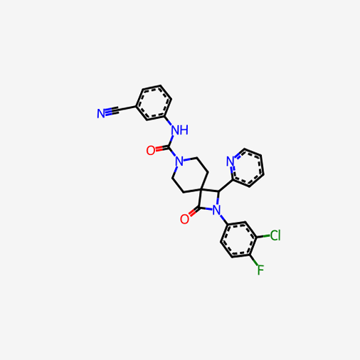 N#Cc1cccc(NC(=O)N2CCC3(CC2)C(=O)N(c2ccc(F)c(Cl)c2)C3c2ccccn2)c1